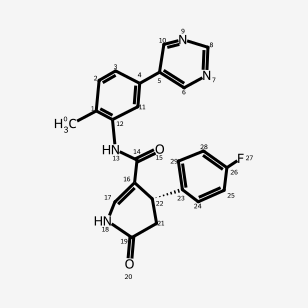 Cc1ccc(-c2cncnc2)cc1NC(=O)C1=CNC(=O)C[C@H]1c1ccc(F)cc1